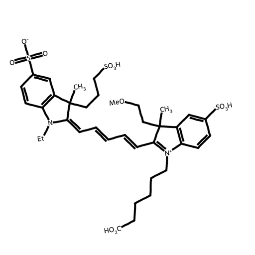 CCN1/C(=C/C=C/C=C/C2=[N+](CCCCCC(=O)O)c3ccc(S(=O)(=O)O)cc3C2(C)CCOC)C(C)(CCCS(=O)(=O)O)c2cc(S(=O)(=O)[O-])ccc21